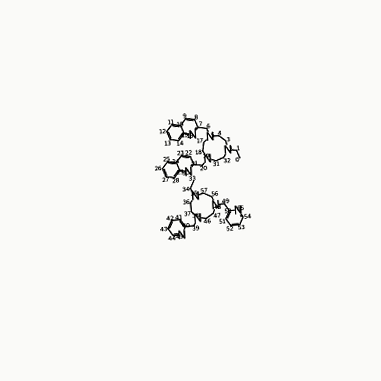 CCN1CCN(Cc2ccc3ccccc3n2)CCN(Cc2ccc3ccccc3n2)CC1.CCN1CCN(Cc2ccccn2)CCN(Cc2ccccn2)CC1